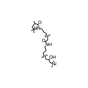 CC(CC(C)(C)C)C(=O)NCCC[N+](C)(C)CC(=O)NCCC[N+](C)(C)CC(O)C[N+](C)(C)C